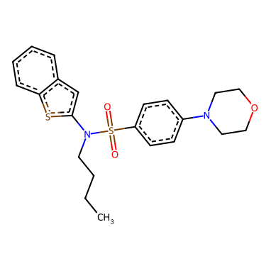 CCCCN(c1cc2ccccc2s1)S(=O)(=O)c1ccc(N2CCOCC2)cc1